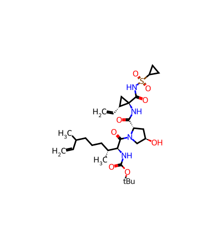 C=CC(C)CCC[C@@H](C)[C@H](NC(=O)OC(C)(C)C)C(=O)N1C[C@H](O)C[C@H]1C(=O)N[C@]1(C(=O)NS(=O)(=O)C2CC2)C[C@H]1C=C